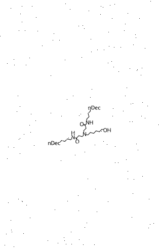 CCCCCCCCCCCCCCNC(=O)CCN(CCCCCCO)CCC(=O)NCCCCCCCCCCCCCC